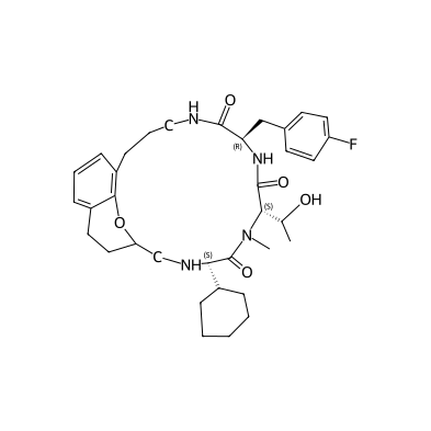 CC(O)[C@H]1C(=O)N[C@H](Cc2ccc(F)cc2)C(=O)NCCCc2cccc3c2OC(CC3)CN[C@@H](C2CCCCC2)C(=O)N1C